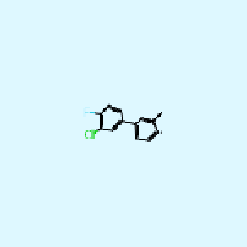 Cc1[c]ccc(-c2ccc(F)c(Cl)c2)c1